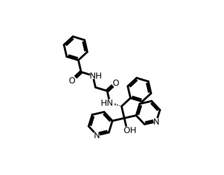 O=C(CNC(=O)c1ccccc1)N[C@H](c1ccccc1)C(O)(c1cccnc1)c1cccnc1